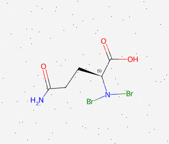 NC(=O)CC[C@@H](C(=O)O)N(Br)Br